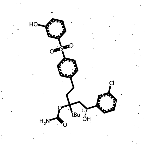 CC(C)(C)C(CCc1ccc(S(=O)(=O)c2cccc(O)c2)cc1)(C[C@@H](O)c1cccc(Cl)c1)OC(N)=O